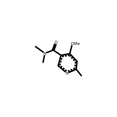 COc1cc(C)ncc1C(=O)N(C)C